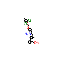 Cc1cc(Cl)c(OCCOc2ccc(CC(N)Cc3ccc(-c4ccccc4CCO)cc3C)cc2)c(Cl)c1